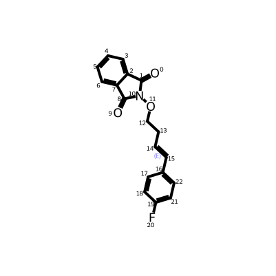 O=C1c2ccccc2C(=O)N1OCC/C=C/c1ccc(F)cc1